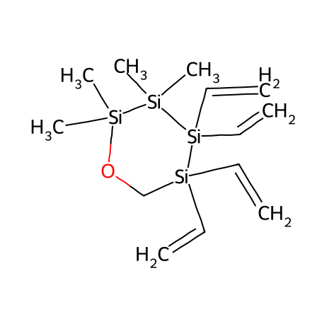 C=C[Si]1(C=C)CO[Si](C)(C)[Si](C)(C)[Si]1(C=C)C=C